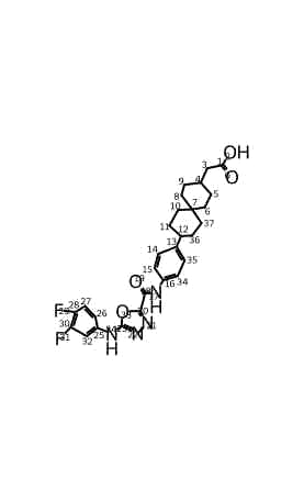 O=C(O)CC1CCC2(CC1)CCC(c1ccc(NC(=O)c3nnc(Nc4ccc(F)c(F)c4)o3)cc1)CC2